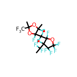 CC(F)(F)C1(F)C(F)(F)C(F)(F)OC1(F)C(F)(F)C1(F)OC(C)(C(F)(F)F)OC1(C)F